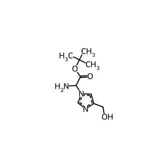 CC(C)(C)OC(=O)C(N)n1cnc(CO)c1